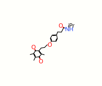 CC1=C(C)C(=O)C(CCCOc2ccc(CCC(=O)NC(C)C)cc2)=C(C)C1=O